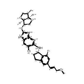 COC/C=C/c1cc(F)c2c(c1)CC[C@@H]2Nc1nc2nc(O[C@@H]3CO[C@H]4[C@@H]3OC[C@H]4C)[nH]c2cc1Cl